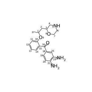 CC(CC1CNCCO1)Oc1ccccc1C(=O)c1ccc(N)c(N)c1